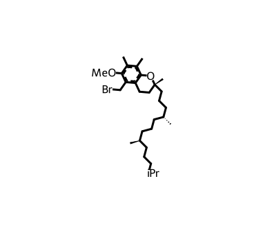 COc1c(C)c(C)c2c(c1CBr)CC[C@@](C)(CCC[C@H](C)CCC[C@H](C)CCCC(C)C)O2